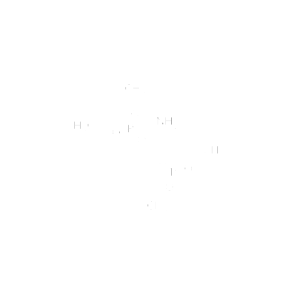 CCOP(OCC)OCC(N)OP(OCC)OCC